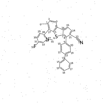 Cc1ccc2c(sc3c(-c4ccc(-c5ccccc5)cc4)c(C#N)ccc32)c1-c1ccc(F)c[n+]1C